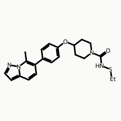 CCSNC(=O)N1CCC(Oc2ccc(-c3ccc4ccnn4c3C)cc2)CC1